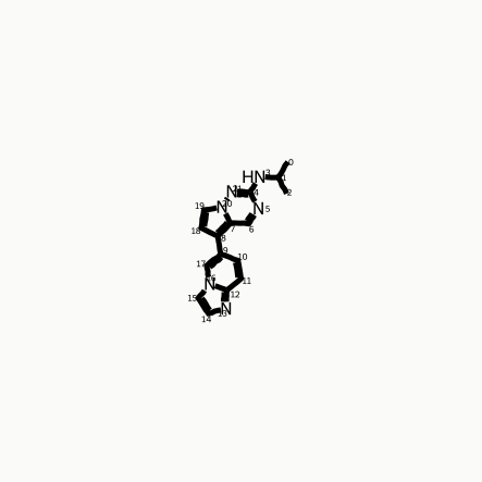 CC(C)Nc1ncc2c(-c3ccc4nccn4c3)ccn2n1